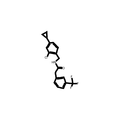 O=C(Cc1cccc(C(F)(F)F)c1)NCc1ccc(C2CC2)cc1Cl